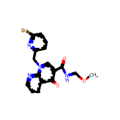 COCNC(=O)c1cn(Cc2cccc(Br)n2)c2ncccc2c1=O